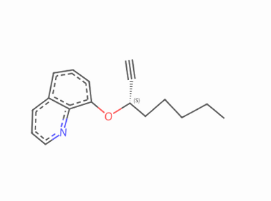 C#C[C@H](CCCCC)Oc1cccc2cccnc12